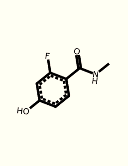 CNC(=O)c1ccc(O)cc1F